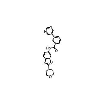 O=C(Nc1ccc2nc(N3CCOCC3)oc2c1)c1cccc(-c2cncnc2)n1